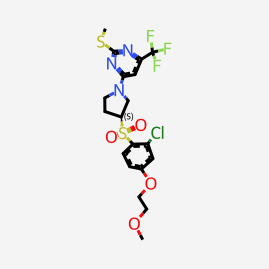 COCCOc1ccc(S(=O)(=O)[C@H]2CCN(c3cc(C(F)(F)F)nc(SC)n3)C2)c(Cl)c1